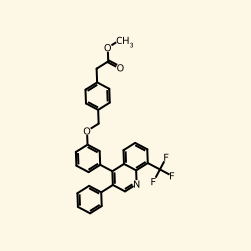 COC(=O)Cc1ccc(COc2cccc(-c3c(-c4ccccc4)cnc4c(C(F)(F)F)cccc34)c2)cc1